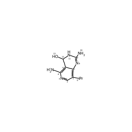 CC(C)c1cnc(N)c2c1N=C(N)NC2O